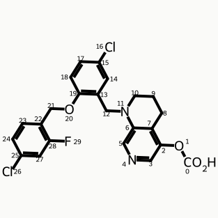 O=C(O)Oc1cncc2c1CCCN2Cc1cc(Cl)ccc1OCc1ccc(Cl)cc1F